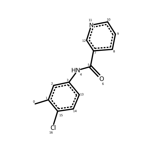 Cc1cc(NC(=O)c2cccnc2)ccc1Cl